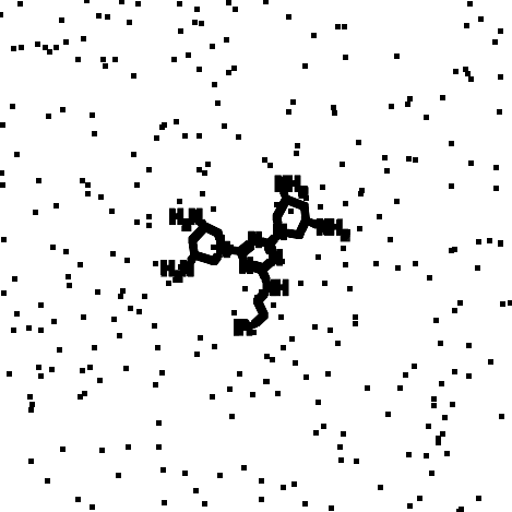 CC(C)CCNc1nc(N2C[C@H](N)C[C@H](N)C2)nc(N2C[C@H](N)C[C@H](N)C2)n1